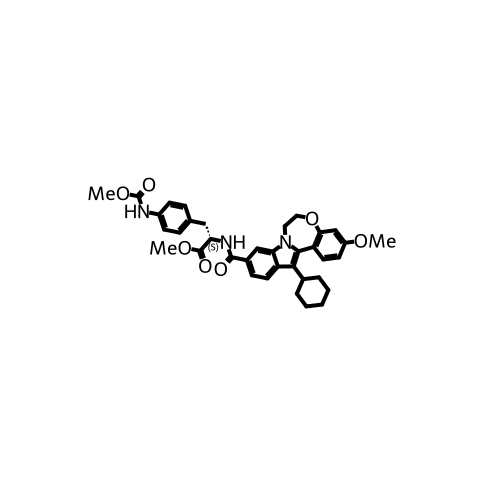 COC(=O)Nc1ccc(C[C@H](NC(=O)c2ccc3c(C4CCCCC4)c4n(c3c2)CCOc2cc(OC)ccc2-4)C(=O)OC)cc1